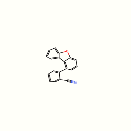 N#Cc1ccccc1-c1cccc2oc3ccccc3c12